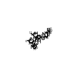 Cc1cnc(C(=O)N2[C@H](CC(C)C)[C@H]3C[C@@H](Oc4ccc(C(F)(F)F)cn4)[C@@H]2C3)c(-n2nccn2)c1